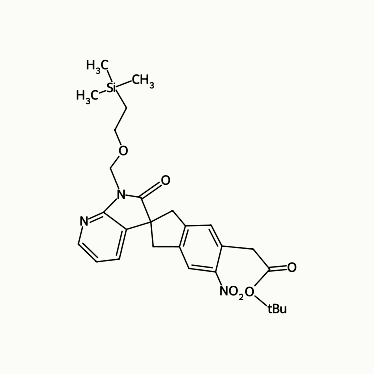 CC(C)(C)OC(=O)Cc1cc2c(cc1[N+](=O)[O-])CC1(C2)C(=O)N(COCC[Si](C)(C)C)c2ncccc21